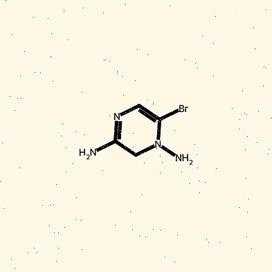 NC1=NC=C(Br)N(N)C1